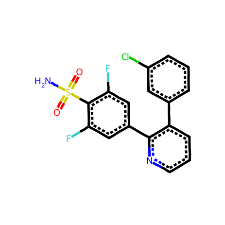 NS(=O)(=O)c1c(F)cc(-c2ncccc2-c2cccc(Cl)c2)cc1F